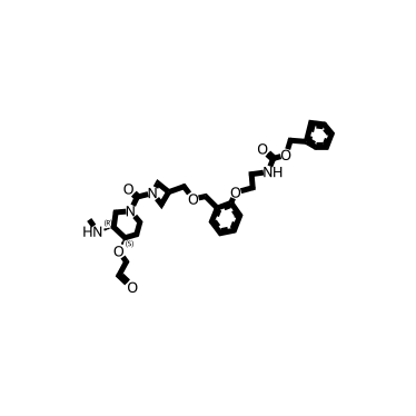 CN[C@@H]1CN(C(=O)N2CC(COCc3ccccc3OCCNC(=O)OCc3ccccc3)C2)CC[C@@H]1OCC=O